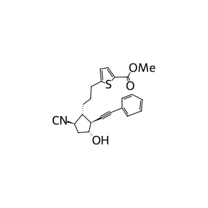 [C-]#[N+][C@@H]1C[C@@H](O)[C@H](C#Cc2ccccc2)[C@H]1CCCc1ccc(C(=O)OC)s1